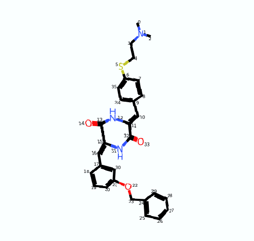 CN(C)CCSc1ccc(/C=c2\[nH]c(=O)/c(=C/c3cccc(OCc4ccccc4)c3)[nH]c2=O)cc1